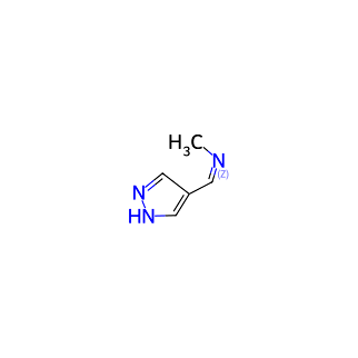 C/N=C\c1cn[nH]c1